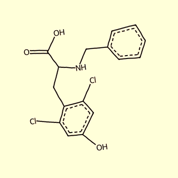 O=C(O)C(Cc1c(Cl)cc(O)cc1Cl)NCc1ccccc1